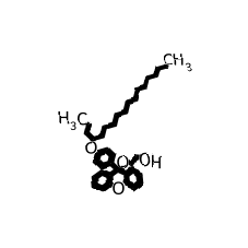 CCCCCCCCCCCCCCC(CCC)Oc1ccc(C2(OCCO)c3ccccc3Oc3ccccc32)cc1